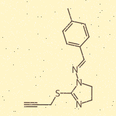 C#CCSC1=NCCN1/N=C/c1ccc(C)cc1